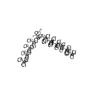 CCOC(C)=O.ClC(Cl)Cl.ClC(Cl)Cl.ClC(Cl)Cl.ClC(Cl)Cl.ClC(Cl)Cl.ClC(Cl)Cl.ClC(Cl)Cl.ClC(Cl)Cl.ClC(Cl)Cl.ClC(Cl)Cl